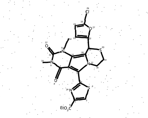 CCOC(=O)c1csc(-c2c3c(=O)n(C)c(=O)n(C)c3c3n2CCSC3c2ccc(Cl)o2)n1